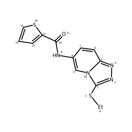 CCSc1nnc2ccc(NC(=O)c3cccs3)cn12